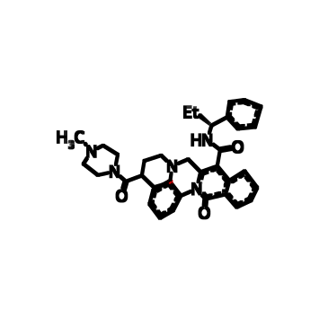 CC[C@H](NC(=O)c1c(CN2CCC(C(=O)N3CCN(C)CC3)CC2)n(-c2ccccc2)c(=O)c2ccccc12)c1ccccc1